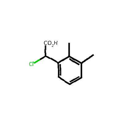 Cc1cccc(C(Cl)C(=O)O)c1C